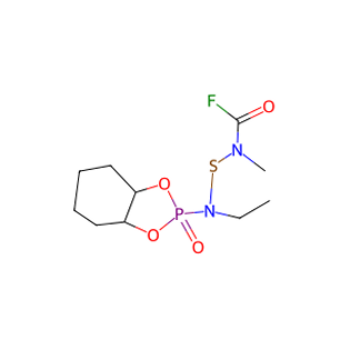 CCN(SN(C)C(=O)F)P1(=O)OC2CCCCC2O1